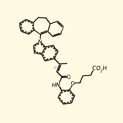 C/C(=C\C(=O)Nc1ccccc1OCCCC(=O)O)c1ccc2c(ccn2C2=C3C=CC=CC3CCc3ccccc32)c1